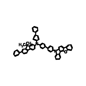 CC1(C)c2cc(-c3ccccc3)ccc2-c2ccc(N(c3ccc(-c4ccccc4)cc3)c3ccc(-c4ccc(-n5c6ccccc6c6c7oc8ccccc8c7ccc65)cc4)cc3)cc21